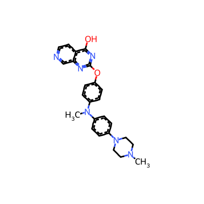 CN1CCN(c2ccc(N(C)c3ccc(Oc4nc(O)c5ccncc5n4)cc3)cc2)CC1